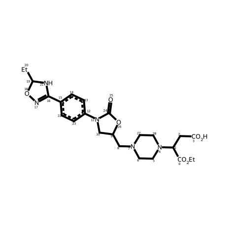 CCOC(=O)C(CC(=O)O)N1CCN(CC2CN(c3ccc(C4=NOC(CC)N4)cc3)C(=O)O2)CC1